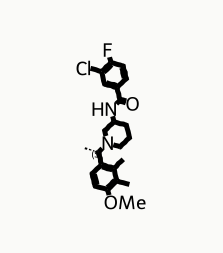 COc1ccc([C@H](C)N2CCCC(NC(=O)c3ccc(F)c(Cl)c3)C2)c(C)c1C